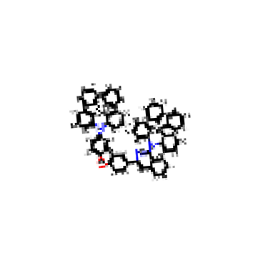 c1ccc([Si]2(c3ccccc3)c3ccccc3N(c3ccc4oc5ccc(-c6cc7ccccc7c(N7c8ccccc8[Si](c8ccccc8)(c8ccccc8)c8ccccc87)n6)cc5c4c3)c3ccccc32)cc1